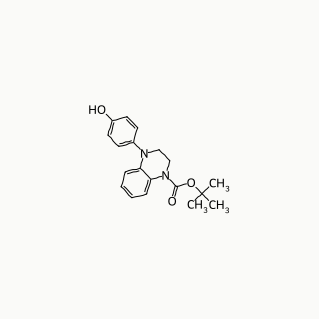 CC(C)(C)OC(=O)N1CCN(c2ccc(O)cc2)c2ccccc21